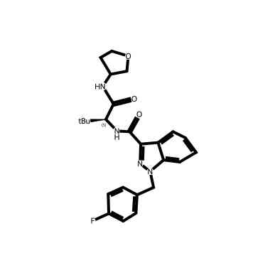 CC(C)(C)[C@H](NC(=O)c1nn(Cc2ccc(F)cc2)c2ccccc12)C(=O)NC1CCOC1